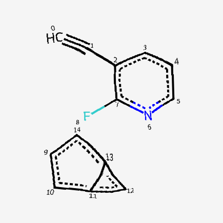 C#Cc1cccnc1F.c1cc2cc-2c1